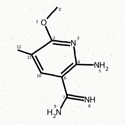 COc1nc(N)c(C(=N)N)cc1C